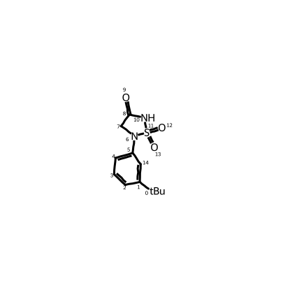 CC(C)(C)c1cccc(N2CC(=O)NS2(=O)=O)c1